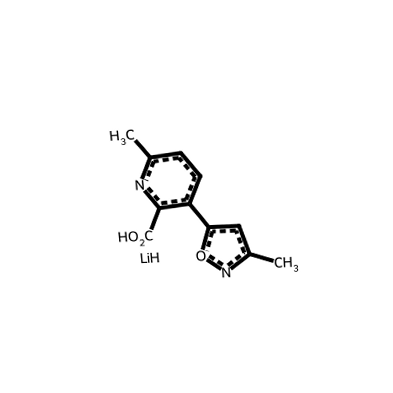 Cc1cc(-c2ccc(C)nc2C(=O)O)on1.[LiH]